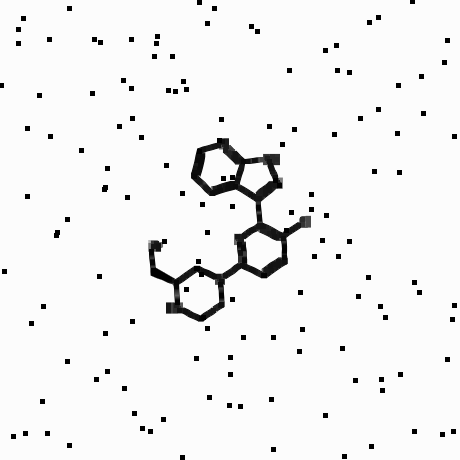 CC(C)C[C@H]1CN(c2ccc(Cl)c(-c3n[nH]c4ncccc34)n2)CCN1